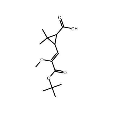 COC(=CC1C(C(=O)O)C1(C)C)C(=O)OC(C)(C)C